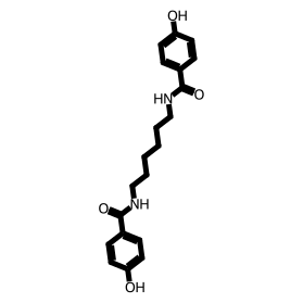 O=C(NCCCCCCNC(=O)c1ccc(O)cc1)c1ccc(O)cc1